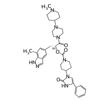 Cc1cc(C[C@@H](OC(=O)N2CCC(n3cc(-c4ccccc4)[nH]c3=O)CC2)C(=O)N2CCN(C3CCN(C)CC3)CC2)cc2cn[nH]c12